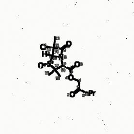 CCCC(=O)COC(=O)[C@@H]1N2C(=O)[C@@](Cl)(I)[C@H]2[S+]([O-])C1(C)C